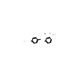 Cc1ccc(COc2cccc(O)c2OC=O)cc1